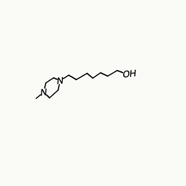 CN1CCN(CCCCCCCO)CC1